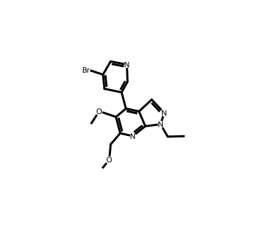 CCn1ncc2c(-c3cncc(Br)c3)c(OC)c(COC)nc21